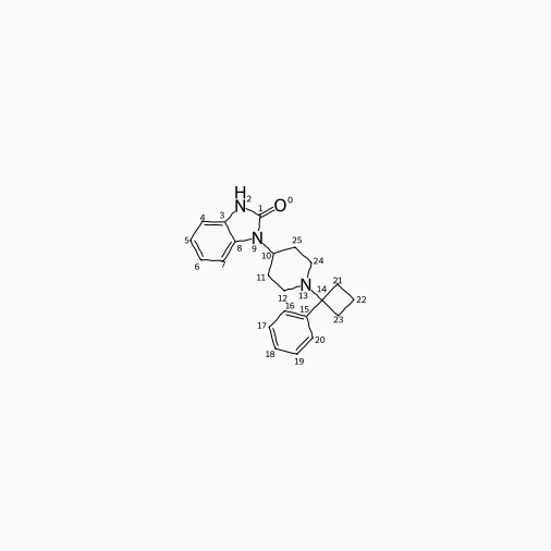 O=c1[nH]c2ccccc2n1C1CCN(C2(c3ccccc3)CCC2)CC1